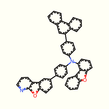 c1ccc2c(c1)cc(-c1ccc(N(c3ccc(-c4ccc5oc6ncccc6c5c4)cc3)c3cccc4oc5ccccc5c34)cc1)c1ccccc12